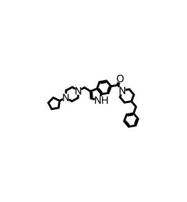 O=C(c1ccc2c(CN3CCN(C4CCCC4)CC3)c[nH]c2c1)N1CCC(Cc2ccccc2)CC1